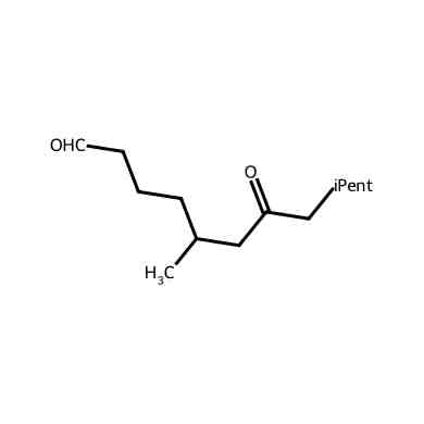 CCCC(C)CC(=O)CC(C)CCCC=O